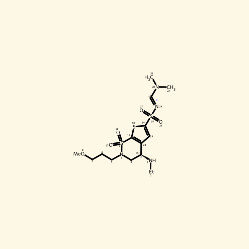 CCN[C@H]1CN(CCCOC)S(=O)(=O)c2sc(S(=O)(=O)/N=C/N(C)C)cc21